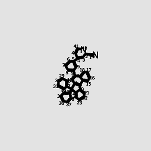 N#Cc1cc(-c2cccc(-c3cc4c(c5ccccc35)-c3ccccc3C4(c3ccccc3)c3ccccc3)c2)ccn1